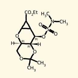 CCOC(=O)C1C2O[C@@H]3COC(C)(C)O[C@H]3[C@H](OS(=O)(=O)N(C)C)C21